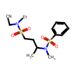 CCN(CC#N)S(=O)(=O)CCC(C)N(C)S(=O)(=O)c1ccccc1